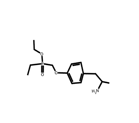 CCOP(=O)(CC)COc1ccc(CC(C)N)cc1